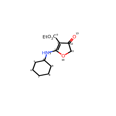 CCOC(=O)C1=C(NC2CCCCC2)OCC1=O